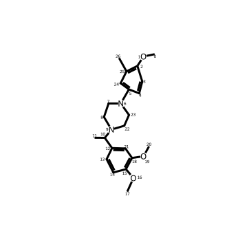 COc1ccc(N2CCN(C(C)c3ccc(OC)c(OC)c3)CC2)cc1C